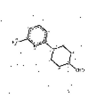 O=CN1CCN(c2cccc(C(F)(F)F)n2)CC1